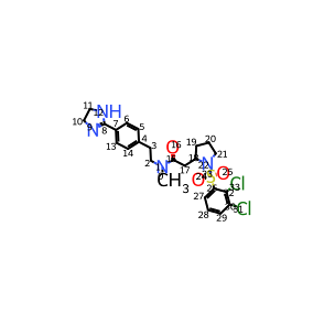 CN(CCc1ccc(C2=NCCN2)cc1)C(=O)CC1CCCN1S(=O)(=O)c1cccc(Cl)c1Cl